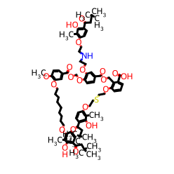 COc1ccc(C(=O)OCOc2ccc(C(=O)OCc3c(OCCSCCOc4ccc(C(=O)CC(C)(C)C)c(O)c4C)cccc3C(=O)O)cc2OCCNCCOc2ccc(C(=O)CC(C)(C)C)c(O)c2C)cc1OCCCCCCCCCOc1ccc(C(=O)CC(C)(C)C)c(O)c1C